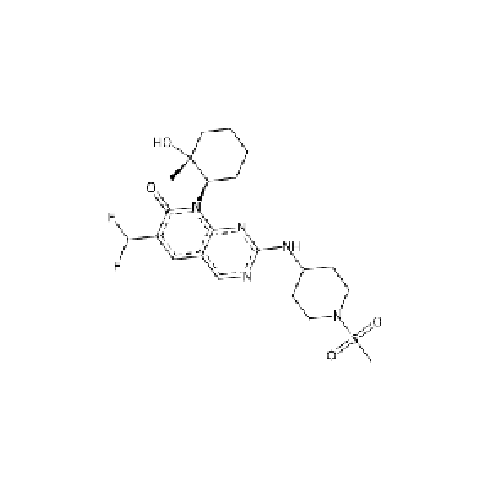 C[C@@]1(O)CCCC[C@H]1n1c(=O)c(C(F)F)cc2cnc(NC3CCN(S(C)(=O)=O)CC3)nc21